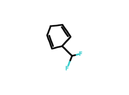 FC(F)C1C=CCC=C1